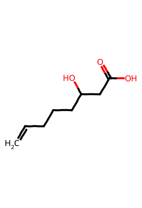 C=CCCCC(O)CC(=O)O